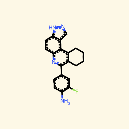 Nc1ccc(-c2nc3ccc4[nH]ncc4c3c3c2CCCC3)cc1F